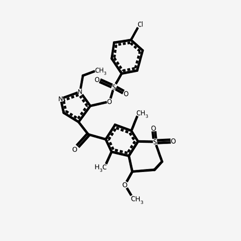 CCn1ncc(C(=O)c2cc(C)c3c(c2C)C(OC)CCS3(=O)=O)c1OS(=O)(=O)c1ccc(Cl)cc1